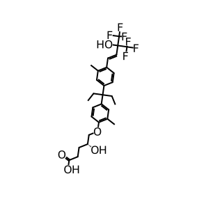 CCC(CC)(c1ccc(/C=C/C(O)(C(F)(F)F)C(F)(F)F)c(C)c1)c1ccc(OC[C@H](O)CCC(=O)O)c(C)c1